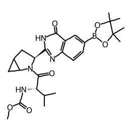 COC(=O)N[C@H](C(=O)N1C2CC2C[C@H]1c1nc2ccc(B3OC(C)(C)C(C)(C)O3)cc2c(=O)[nH]1)C(C)C